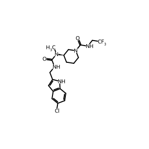 CN(C(=O)NCc1cc2cc(Cl)ccc2[nH]1)[C@@H]1CCCN(C(=O)NCC(F)(F)F)C1